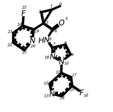 CC1CC1(C(=O)Nc1ccn(-c2cncc(F)c2)n1)c1ncccc1F